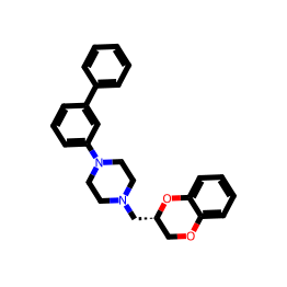 c1ccc(-c2cccc(N3CCN(C[C@H]4COc5ccccc5O4)CC3)c2)cc1